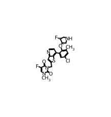 Cc1cc(Cl)cc(-c2ccnc3cc(Cn4c(=O)c(F)cn(C)c4=O)sc23)c1O[C@@H]1CNC[C@@H]1F